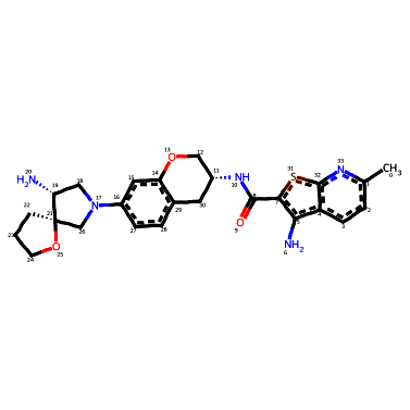 Cc1ccc2c(N)c(C(=O)N[C@H]3COc4cc(N5C[C@@H](N)[C@@]6(CCCO6)C5)ccc4C3)sc2n1